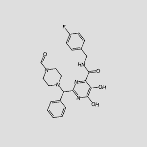 O=CN1CCN(C(c2ccccc2)c2nc(O)c(O)c(C(=O)NCc3ccc(F)cc3)n2)CC1